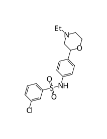 CCN1CCOC(c2ccc(NS(=O)(=O)c3cccc(Cl)c3)cc2)C1